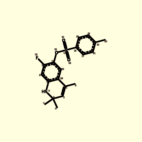 CC1=CC(C)(C)Nc2cc(F)c(OS(=O)(=O)c3ccc(C)cc3)cc21